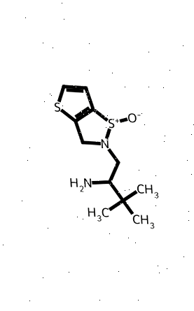 CC(C)(C)C(N)CN1Cc2sccc2[S+]1[O-]